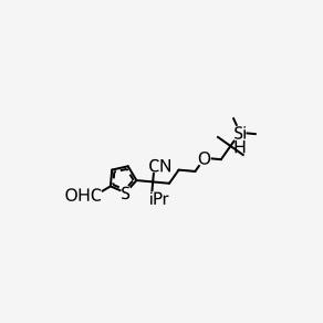 CC(C)C(C#N)(CCCOCC(C)(C)[SiH](C)C)c1ccc(C=O)s1